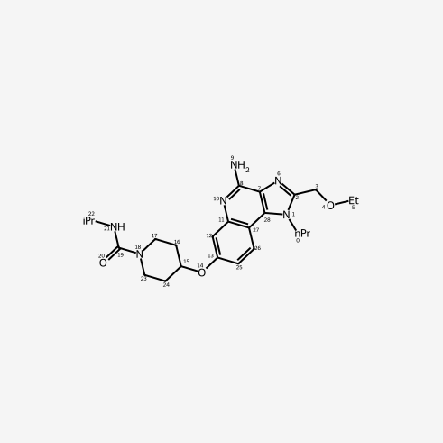 CCCn1c(COCC)nc2c(N)nc3cc(OC4CCN(C(=O)NC(C)C)CC4)ccc3c21